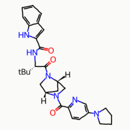 CC(C)(C)[C@H](NC(=O)c1cc2ccccc2[nH]1)C(=O)N1C[C@@H]2C[C@H]1CN2C(=O)c1ccc(N2CCCC2)cn1